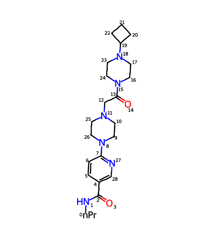 CCCNC(=O)c1ccc(N2CCN(CC(=O)N3CCN(C4CCC4)CC3)CC2)nc1